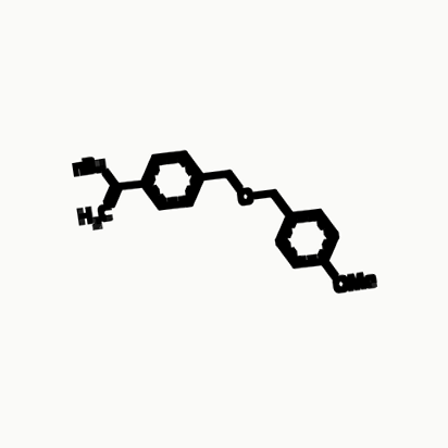 C=C(CCCC)c1ccc(COCc2ccc(OC)cc2)cc1